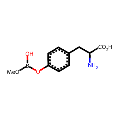 COB(O)Oc1ccc(CC(N)C(=O)O)cc1